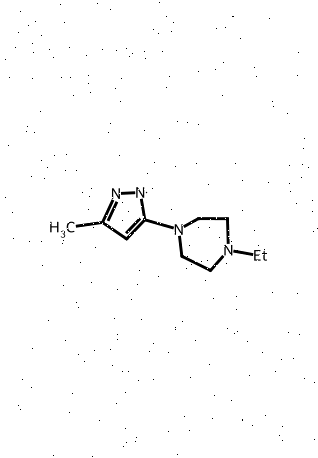 CCN1CCN(C2=CC(C)=N[N]2)CC1